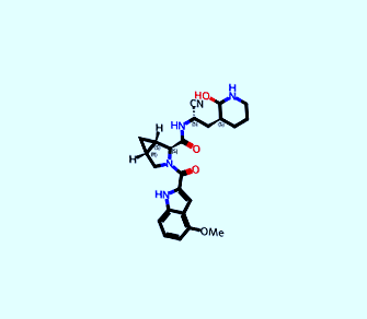 COc1cccc2[nH]c(C(=O)N3C[C@@H]4C[C@@H]4[C@H]3C(=O)N[C@H](C#N)C[C@@H]3CCCNC3O)cc12